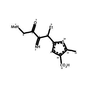 CCC(C(=N)C(=O)CNC)c1cc(C(=O)O)c(C)s1